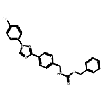 O=C(NCc1ccc(-c2ncn(-c3ccc(C(F)(F)F)cc3)n2)cc1)OCc1ccccc1